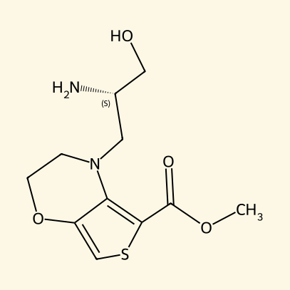 COC(=O)c1scc2c1N(C[C@H](N)CO)CCO2